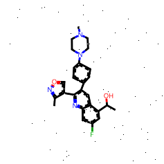 Cc1nocc1-c1nc2cc(F)cc(C(C)O)c2cc1-c1ccc(N2CCN(C)CC2)cc1